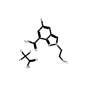 NCCn1cc2cc(F)cc(C(N)=O)c2n1.O=C(O)C(F)(F)F